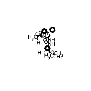 Cc1ccc(NC(=O)N[C@@H]2CN(C3CCCCC3)c3ccccc3N(CC(=O)C(C)(C)C)C2=O)cc1C(=O)OC(C)(C)C